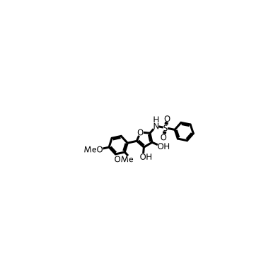 COc1ccc(-c2oc(NS(=O)(=O)c3ccccc3)c(O)c2O)c(OC)c1